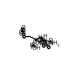 CN1C(=O)CCC(N2Cc3c(C#CCCCCCC(=O)N4CC[C@H]5CC[C@@H](C(=O)N[C@@H](CCC(N)=O)C(=O)NC(c6ccccc6)c6ccccc6)N5C(=O)[C@@H](N)C4)cccc3C2=O)C1=O.O=C(O)C(F)(F)F